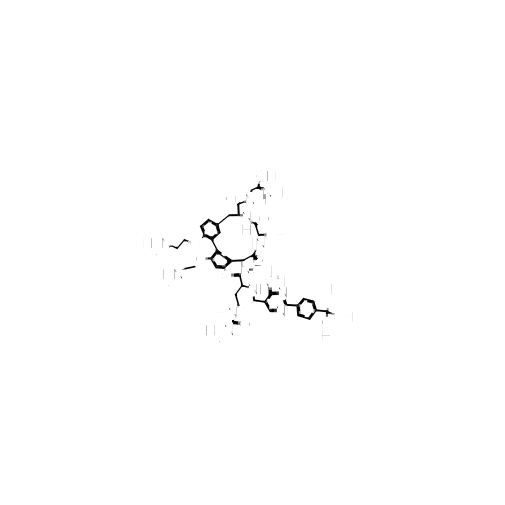 CC(=N)CNC(=O)C1Cc2ccc(OCCN)c(c2)-c2cc(ccc2OCCN)C(N(C)C(=O)C(CCNC(N)=O)NC(=O)c2cnc(-c3ccc(C(C)(C)C)cc3)nc2C)C(=O)NC(C)C(=O)N1